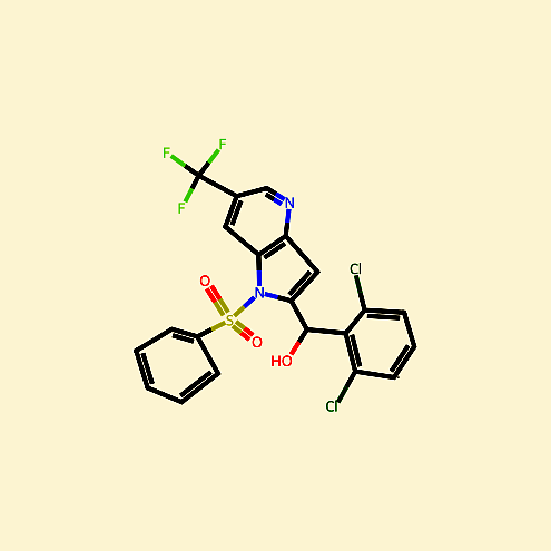 O=S(=O)(c1ccccc1)n1c(C(O)c2c(Cl)[c]ccc2Cl)cc2ncc(C(F)(F)F)cc21